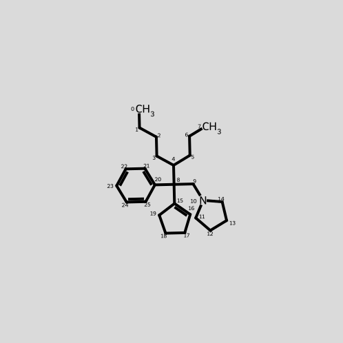 CCCCC(CCC)C(CN1CCCC1)(C1=CCCC1)c1ccccc1